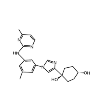 Cc1cc(Nc2nccc(C)n2)cc(-n2cnc([C@]3(O)CC[C@H](O)CC3)c2)c1